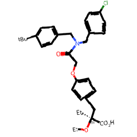 CCO[C@@](CC)(Cc1ccc(OCC(=O)N(Cc2ccc(Cl)cc2)Cc2ccc(C(C)(C)C)cc2)cc1)C(=O)O